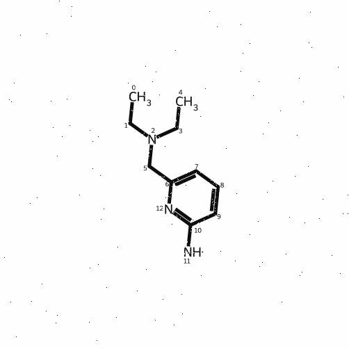 CCN(CC)Cc1cccc([NH])n1